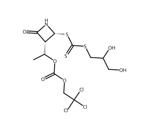 CC(OC(=O)OCC(Cl)(Cl)Cl)[C@@H]1C(=O)N[C@@H]1SC(=S)SCC(O)CO